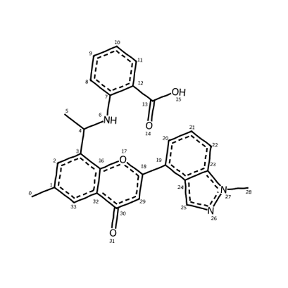 Cc1cc(C(C)Nc2ccccc2C(=O)O)c2oc(-c3cccc4c3cnn4C)cc(=O)c2c1